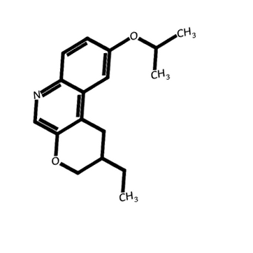 CCC1COc2cnc3ccc(OC(C)C)cc3c2C1